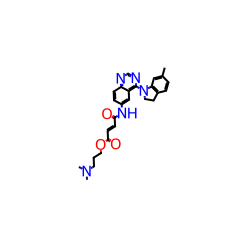 Cc1ccc2c(c1)N(c1ncnc3ccc(NC(=O)/C=C/C(=O)OCCCN(C)C)cc13)CC2